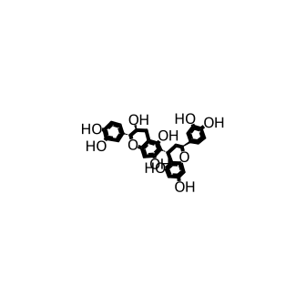 Oc1cc(O)c2c(c1)O[C@H](c1ccc(O)c(O)c1)C[C@H]2c1c(O)cc2c(c1O)C[C@H](O)[C@@H](c1ccc(O)c(O)c1)O2